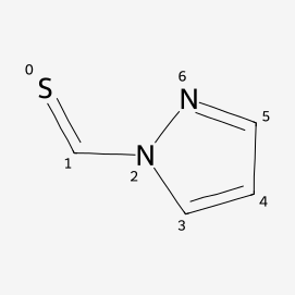 S=Cn1cccn1